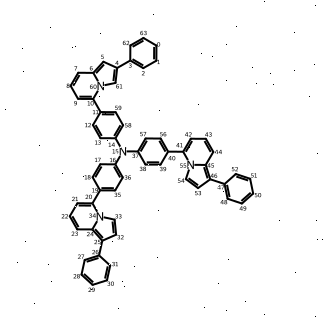 c1ccc(-c2cc3cccc(-c4ccc(N(c5ccc(-c6cccc7c(-c8ccccc8)ccn67)cc5)c5ccc(-c6cccc7c(-c8ccccc8)ccn67)cc5)cc4)n3c2)cc1